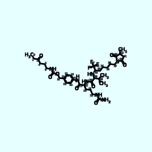 CCC(=O)CCCNC(=O)OCc1ccc(NC(=O)C(CCCNC(N)=O)NC(=O)C(NC(CCCCCN2C(=O)CC(C)C2=O)C(F)(F)F)C(C)C)cc1